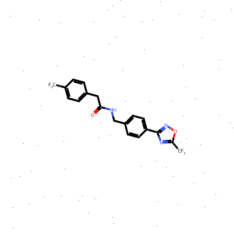 O=C(Cc1ccc(C(F)(F)F)cc1)NCc1ccc(-c2noc(C(F)(F)F)n2)cc1